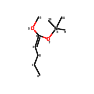 CCC/C=C(/OC)O[Si](C)(C)C